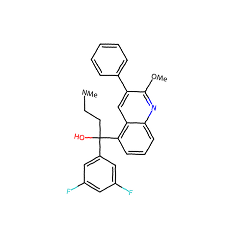 CNCCC(O)(c1cc(F)cc(F)c1)c1cccc2nc(OC)c(-c3ccccc3)cc12